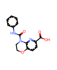 O=C(O)c1ccc2c(n1)N(C(=O)Nc1ccccc1)CCO2